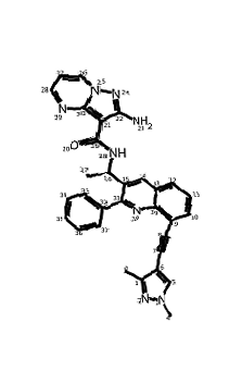 Cc1nn(C)cc1C#Cc1cccc2cc([C@@H](C)NC(=O)c3c(N)nn4cccnc34)c(-c3ccccc3)nc12